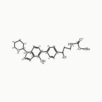 CCC(CCNC(=O)OC(C)(C)C)c1ccc(-c2ccc3c(cnn3C3CCCCO3)c2O)cc1